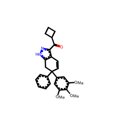 COc1cc(C2(c3ccccc3)C=Cc3c(C(=O)C4CCC4)n[nH]c3C2)cc(OC)c1OC